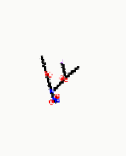 CCCCCCCCCOC(=O)CCCCCCCN(CCCCCCCC(=O)OC(CCCCCCCC)CCCCCCCI)CCCN1C(=O)CN(C)C1=O